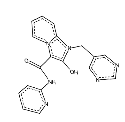 O=C(Nc1ccccn1)c1c(O)n(Cc2cncnc2)c2cccc[n+]12